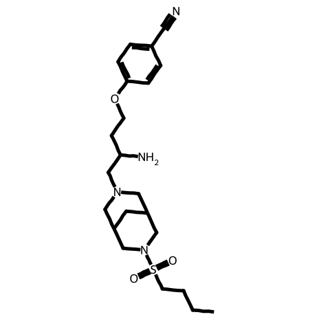 CCCCS(=O)(=O)N1CC2CC(CN(CC(N)CCOc3ccc(C#N)cc3)C2)C1